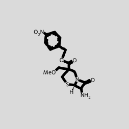 COCC1(C(=O)OCc2ccc([N+](=O)[O-])cc2)CS[C@@H]2C(N)C(=O)N2C1